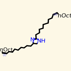 CCCCCCCC/C=C\CCCCCCCCC1=NC(CCCCCCCC/C=C\CCCCCCCC)CN1